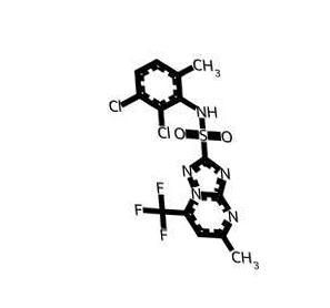 Cc1cc(C(F)(F)F)n2nc(S(=O)(=O)Nc3c(C)ccc(Cl)c3Cl)nc2n1